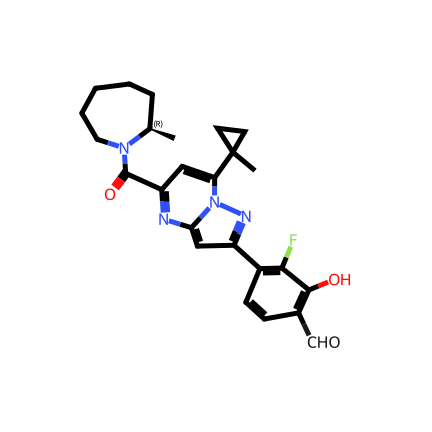 C[C@@H]1CCCCCN1C(=O)c1cc(C2(C)CC2)n2nc(-c3ccc(C=O)c(O)c3F)cc2n1